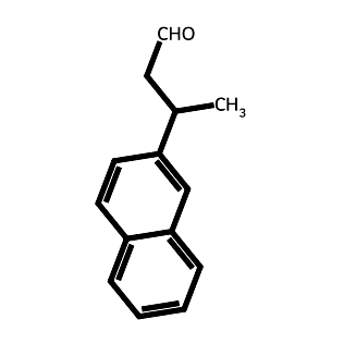 CC(CC=O)c1ccc2ccccc2c1